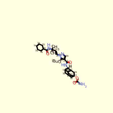 CC(C)COc1c(C(=O)N[C@H]2C3CC4CC2C[C@](OC(N)=O)(C4)C3)cnn1/C=C/C(C)(C)NC(=O)C1CCCCC1